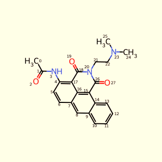 CC(=O)Nc1ccc2cc3ccccc3c3c2c1C(=O)N(CCN(C)C)C3=O